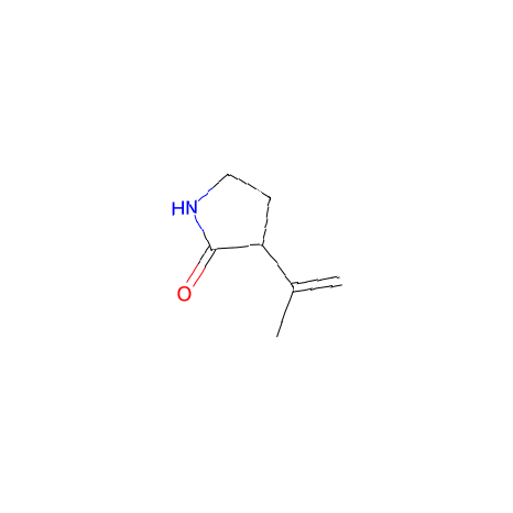 C=C(C)C1CCNC1=O